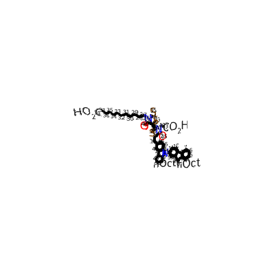 CCCCCCCCC1(CCCCCCCC)c2ccccc2-c2ccc(N3c4ccc(CC5S/C(=C6/SC(=S)N(CCCCCCCCCCCC(=O)O)C6=O)N(CC(=O)O)C5=O)cc4C4CCCC43)cc21